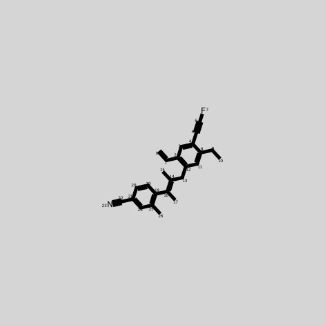 C=Cc1cc(C#CF)c(CC)cc1C/C(C)=C(\C)c1ccc(C#N)cc1C